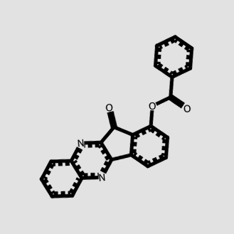 O=C(Oc1cccc2c1C(=O)c1nc3ccccc3nc1-2)c1ccccc1